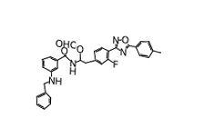 Cc1ccc(-c2nc(-c3ccc(CC(NC(=O)c4cccc(NCc5ccccc5)c4)OC=O)cc3F)no2)cc1